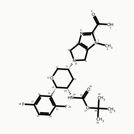 Cn1c(C(=O)O)nc2c1CN([C@H]1CO[C@@H](c3cc(F)ccc3F)[C@@H](NC(=O)OC(C)(C)C)C1)C2